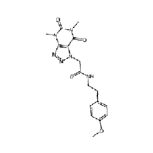 COc1ccc(CCNC(=O)Cn2nnc3c2c(=O)n(C)c(=O)n3C)cc1